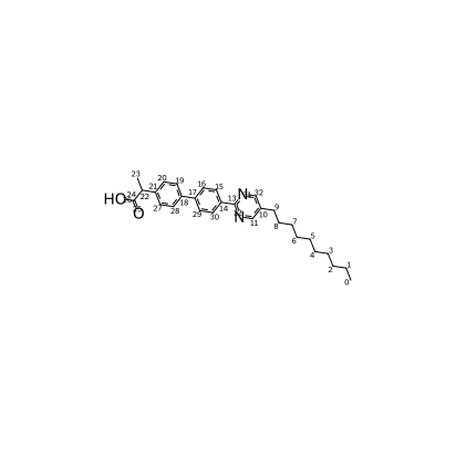 CCCCCCCCCCc1cnc(-c2ccc(-c3ccc(C(C)C(=O)O)cc3)cc2)nc1